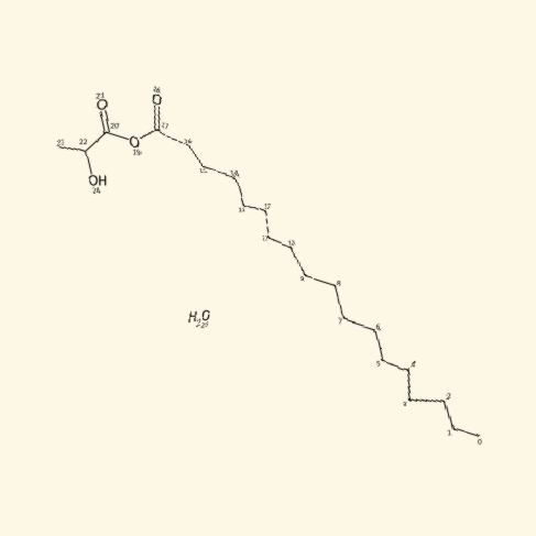 CCCCCCCCCCCCCCCCCC(=O)OC(=O)C(C)O.O